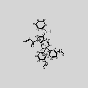 C=CC(=O)n1nc(Nc2ccccc2)c2c1CC(c1cccc(OC)c1)(c1cccc(OC)c1)C=C2